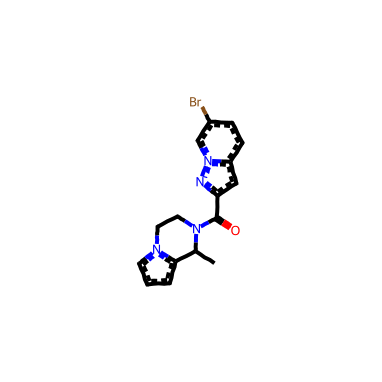 CC1c2cccn2CCN1C(=O)c1cc2ccc(Br)cn2n1